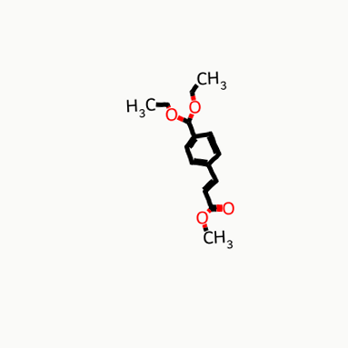 CCOC(OCC)c1ccc(C=CC(=O)OC)cc1